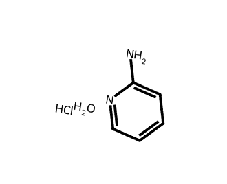 Cl.Nc1ccccn1.O